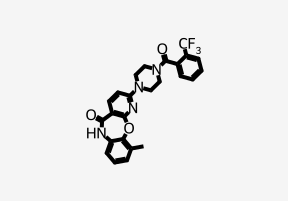 Cc1cccc2c1Oc1nc(N3CCN(C(=O)c4ccccc4C(F)(F)F)CC3)ccc1C(=O)N2